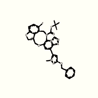 Cn1nc(OCc2ccccc2)cc1-c1cc2c(n3cnnc13)N(C(=O)OC(C)(C)C)Cc1c(F)ccc3c1[C@H](CO3)CO2